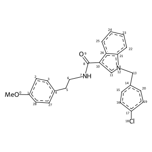 COc1ccc(CCNC(=O)c2cn(Cc3ccc(Cl)cc3)c3ccccc23)cc1